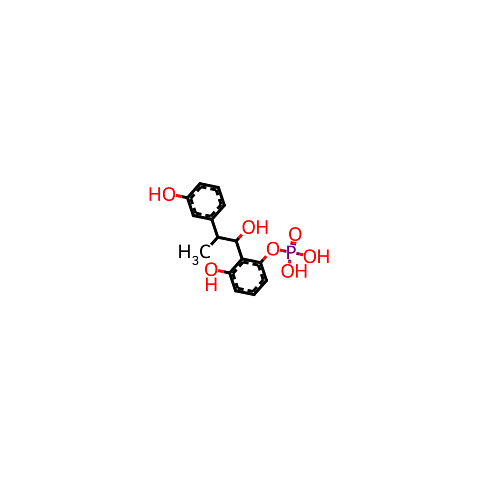 CC(c1cccc(O)c1)C(O)c1c(O)cccc1OP(=O)(O)O